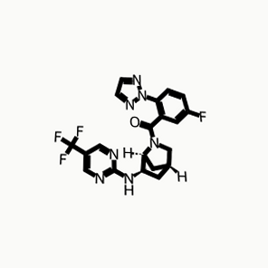 O=C(c1cc(F)ccc1-n1nccn1)N1C[C@@H]2C[C@@H](Nc3ncc(C(F)(F)F)cn3)[C@@H]1C2